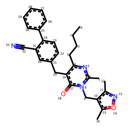 CCCCc1nc(C)n(Cc2c(C)noc2C)c(=O)c1Cc1ccc(-c2ccccc2)c(C#N)c1